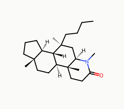 CCCC[C@@]1(C)C[C@H]2N(C)C(=O)CC[C@]2(C)[C@H]2CC[C@]3(C)CCC[C@H]3[C@@H]21